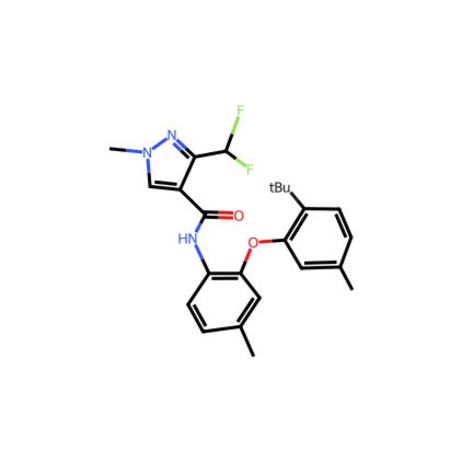 Cc1ccc(NC(=O)c2cn(C)nc2C(F)F)c(Oc2cc(C)ccc2C(C)(C)C)c1